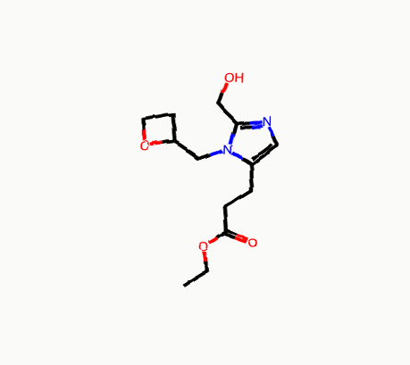 CCOC(=O)CCc1cnc(CO)n1CC1CCO1